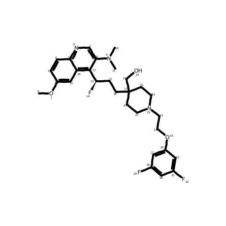 COc1ccc2ncc(N(C)C)c([C@H](F)CCC3(CO)CCN(CCOc4cc(F)cc(F)c4)CC3)c2c1